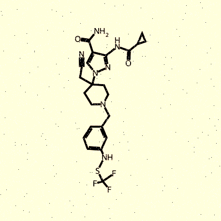 N#CCC1(n2cc(C(N)=O)c(NC(=O)C3CC3)n2)CCN(Cc2cccc(NSC(F)(F)F)c2)CC1